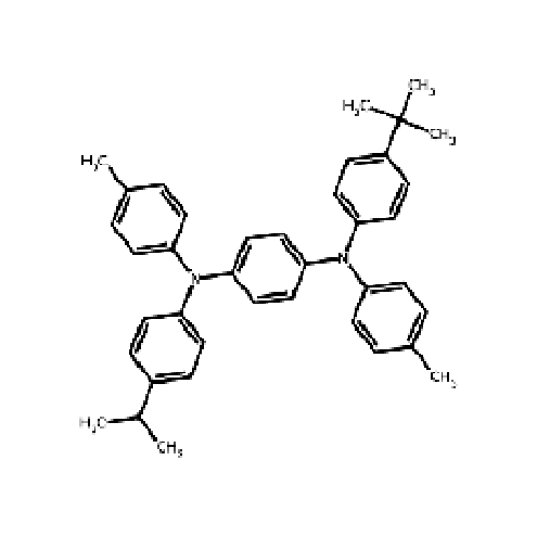 Cc1ccc(N(c2ccc(C(C)C)cc2)c2ccc(N(c3ccc(C)cc3)c3ccc(C(C)(C)C)cc3)cc2)cc1